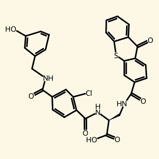 O=C(NCc1cccc(O)c1)c1ccc(C(=O)N[C@@H](CNC(=O)c2ccc3c(=O)c4ccccc4sc3c2)C(=O)O)c(Cl)c1